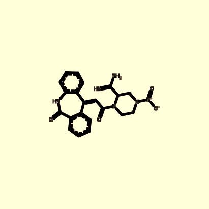 N=C(N)C1CN([N+](=O)[O-])CCN1C(=O)C=C1c2ccccc2NC(=O)c2ccccc21